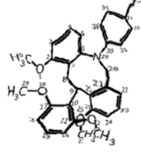 COc1cccc2c1CC(c1c(OC)cccc1OC)c1c(cccc1OC)CN2c1ccc(I)cc1